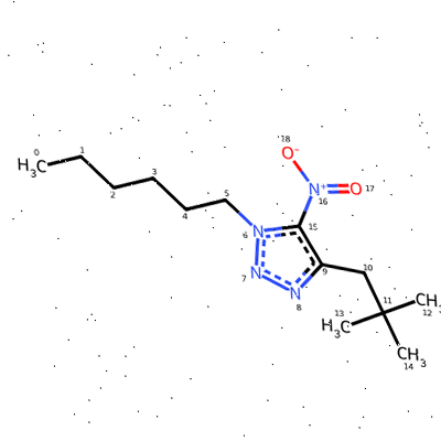 CCCCCCn1nnc(CC(C)(C)C)c1[N+](=O)[O-]